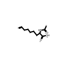 C=CCCCCCC(NC(C)=O)C(=O)O